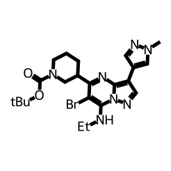 CCNc1c(Br)c(C2CCCN(C(=O)OC(C)(C)C)C2)nc2c(-c3cnn(C)c3)cnn12